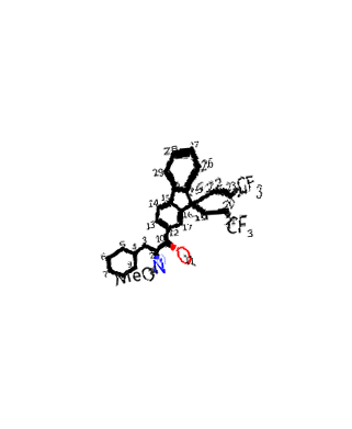 CO/N=C(\CC1CCCCC1)C(=O)c1ccc2c(c1)C(CCC(F)(F)F)(CCC(F)(F)F)c1ccccc1-2